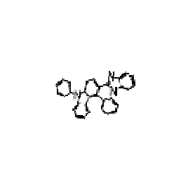 c1ccc(-n2c3ccccc3c3c4c5ccccc5n5c6ccccc6nc5c4ccc32)cc1